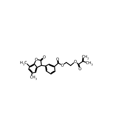 C=C(C)C(=O)OCCOC(=O)c1cccc(C2C(=O)Oc3c(C)cc(C)cc32)c1